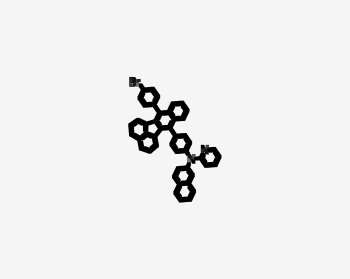 Brc1ccc(-c2c3c(c(-c4ccc(N(c5ccc6ccccc6c5)c5ccccn5)cc4)c4ccccc24)-c2cccc4cccc-3c24)cc1